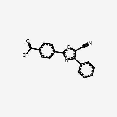 N#Cc1oc(-c2ccc(C(=O)Cl)cc2)nc1-c1ccccc1